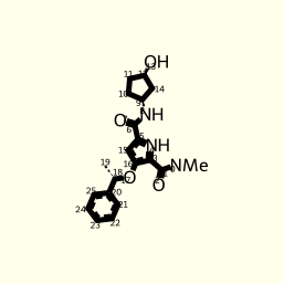 CNC(=O)c1[nH]c(C(=O)N[C@@H]2CC[C@@H](O)C2)cc1O[C@@H](C)c1ccccc1